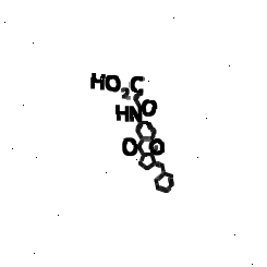 O=C(O)C=CC(=O)Nc1ccc2oc3c(c(=O)c2c1)CCC3=Cc1ccccc1